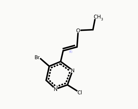 CCO/C=C/c1nc(Cl)ncc1Br